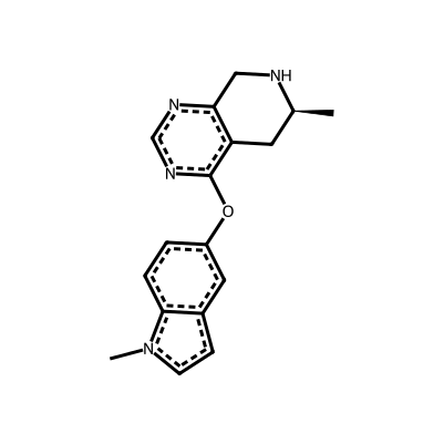 C[C@H]1Cc2c(ncnc2Oc2ccc3c(ccn3C)c2)CN1